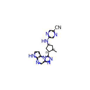 C[C@@H]1C[C@H](Nc2cnc(C#N)cn2)C[C@@H]1c1nnc2cnc3[nH]ccc3n12